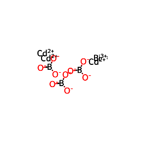 [Bi+3].[Cd+2].[Cd+2].[Cd+2].[O-]B([O-])[O-].[O-]B([O-])[O-].[O-]B([O-])[O-]